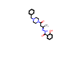 O=C(N/N=C(/CC(=O)N1CCN(Cc2ccccc2)CC1)C(F)(F)F)c1ccccc1O